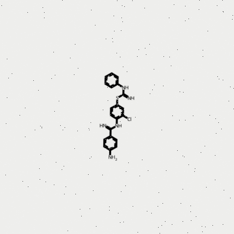 N=C(Nc1ccccc1)Sc1ccc(NC(=N)c2ccc(N)cc2)c(Cl)c1